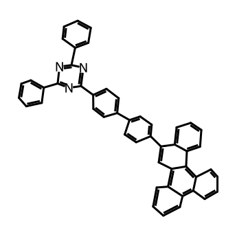 c1ccc(-c2nc(-c3ccccc3)nc(-c3ccc(-c4ccc(-c5cc6c7ccccc7c7ccccc7c6c6ccccc56)cc4)cc3)n2)cc1